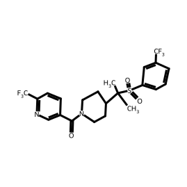 CC(C)(C1CCN(C(=O)c2ccc(C(F)(F)F)nc2)CC1)S(=O)(=O)c1cccc(C(F)(F)F)c1